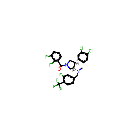 CN(Cc1ccc(C(F)(F)F)c(F)c1)[C@@H]1CN(C(=O)c2cccc(F)c2F)C[C@@H]1c1ccc(Cl)c(Cl)c1